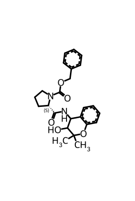 CC1(C)Oc2ccccc2C(NC(=O)[C@@H]2CCCN2C(=O)OCc2ccccc2)C1O